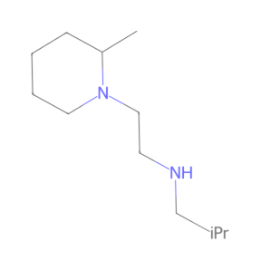 CC(C)CNCCN1CCCCC1C